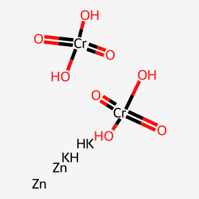 [KH].[KH].[O]=[Cr](=[O])([OH])[OH].[O]=[Cr](=[O])([OH])[OH].[Zn].[Zn]